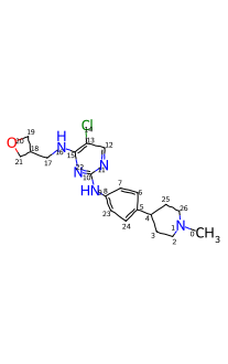 CN1CCC(c2ccc(Nc3ncc(Cl)c(NCC4COC4)n3)cc2)CC1